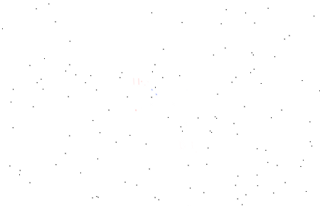 Bc1ccc2c(c1)C(=O)N(O)C21/C=C\CCCCC1